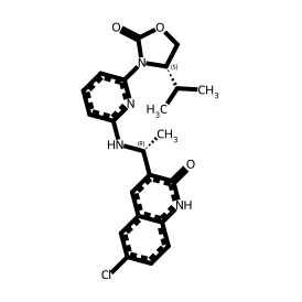 CC(C)[C@H]1COC(=O)N1c1cccc(N[C@H](C)c2cc3cc(Cl)ccc3[nH]c2=O)n1